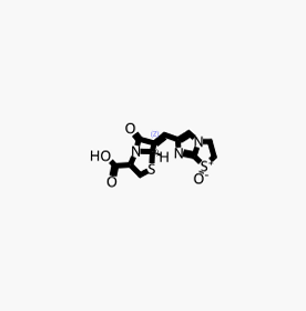 O=C(O)C1CS[C@@H]2/C(=C\c3cn4c(n3)[S+]([O-])CC4)C(=O)N12